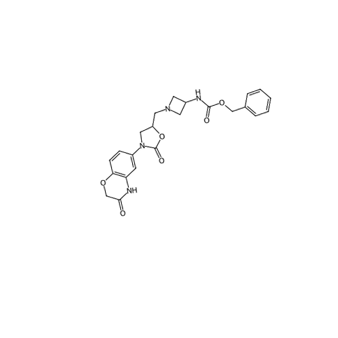 O=C1COc2ccc(N3CC(CN4CC(NC(=O)OCc5ccccc5)C4)OC3=O)cc2N1